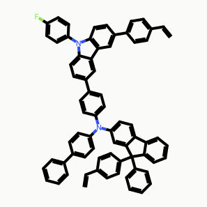 C=Cc1ccc(-c2ccc3c(c2)c2cc(-c4ccc(N(c5ccc(-c6ccccc6)cc5)c5ccc6c(c5)C(c5ccccc5)(c5ccc(C=C)cc5)c5ccccc5-6)cc4)ccc2n3-c2ccc(F)cc2)cc1